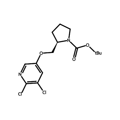 CC(C)(C)OC(=O)N1CCC[C@@H]1COc1cnc(Cl)c(Cl)c1